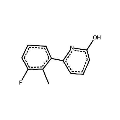 Cc1c(F)cccc1-c1cccc(O)n1